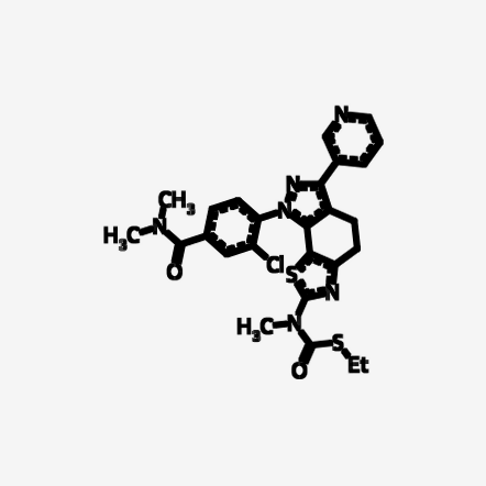 CCSC(=O)N(C)c1nc2c(s1)-c1c(c(-c3cccnc3)nn1-c1ccc(C(=O)N(C)C)cc1Cl)CC2